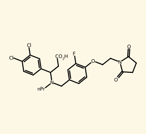 CCCN(Cc1ccc(OCCN2C(=O)CCC2=O)c(F)c1)C(CC(=O)O)c1ccc(Cl)c(Cl)c1